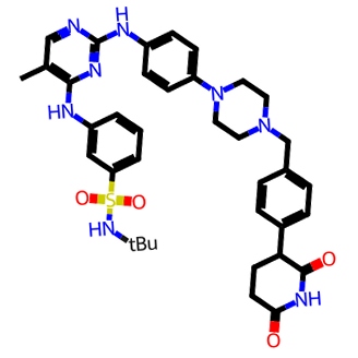 Cc1cnc(Nc2ccc(N3CCN(Cc4ccc(C5CCC(=O)NC5=O)cc4)CC3)cc2)nc1Nc1cccc(S(=O)(=O)NC(C)(C)C)c1